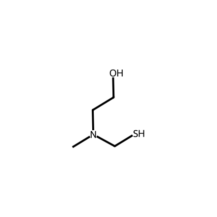 CN(CS)CCO